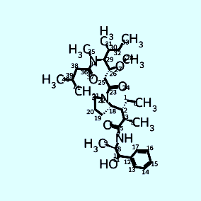 CC[C@H]([C@@H](C)C(=O)N[C@H](C)[C@@H](O)c1ccccc1)[C@@H]1CCCN1C(=O)C[C@@H](OC)[C@H]([C@@H](C)CC)N(C)C(=O)CC(C)C